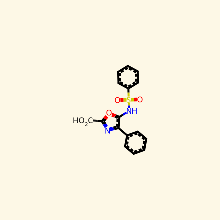 O=C(O)c1nc(-c2ccccc2)c(NS(=O)(=O)c2ccccc2)o1